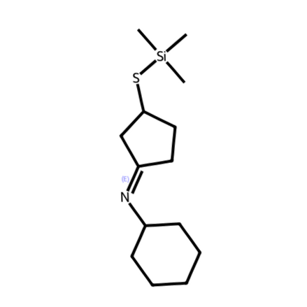 C[Si](C)(C)SC1CC/C(=N\C2CCCCC2)C1